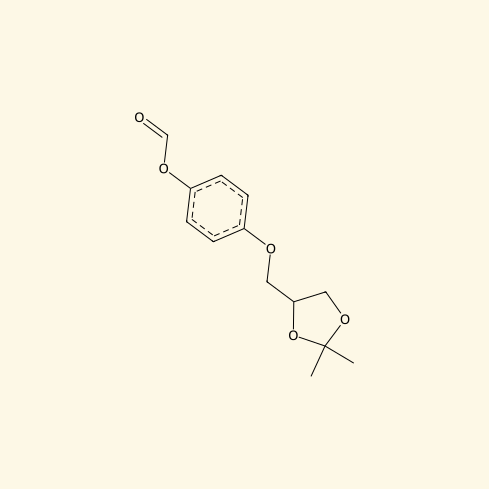 CC1(C)OCC(COc2ccc(OC=O)cc2)O1